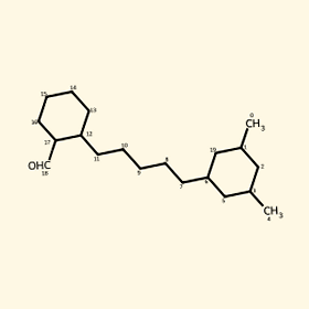 CC1CC(C)CC(CCCCCC2CCCCC2C=O)C1